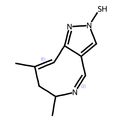 C/C1=C\c2nn(S)cc2/C=N\C(C)C1